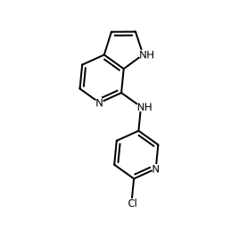 Clc1ccc(Nc2nccc3cc[nH]c23)cn1